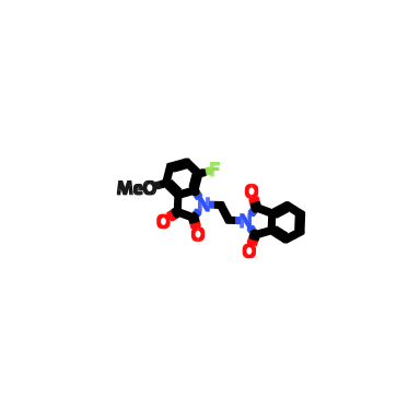 COc1ccc(F)c2c1C(=O)C(=O)N2CCN1C(=O)c2ccccc2C1=O